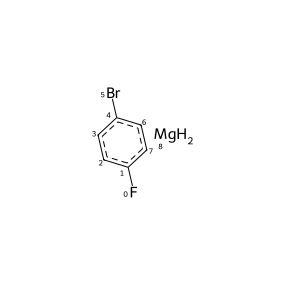 Fc1ccc(Br)cc1.[MgH2]